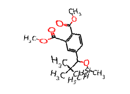 COC(=O)c1ccc(C(O[SiH](C)C)C(C)(C)C)cc1C(=O)OC